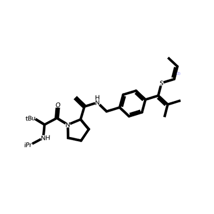 C=C(NCc1ccc(C(S/C=C\C)=C(C)C)cc1)C1CCCN1C(=O)C(NC(C)C)C(C)(C)C